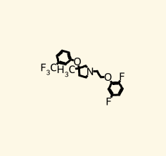 CC1(Oc2cccc(C(F)(F)F)c2)CCN(CCOc2cc(F)ccc2F)C1